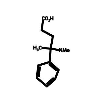 CNC(C)(CCC(=O)O)c1ccccc1